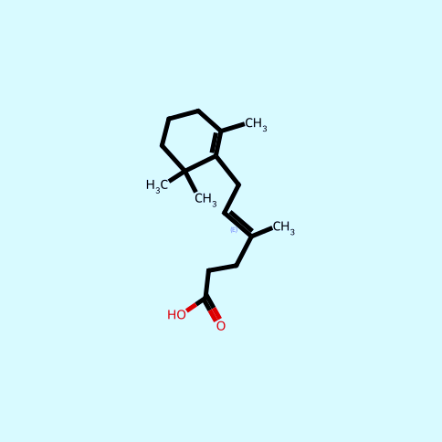 CC1=C(C/C=C(\C)CCC(=O)O)C(C)(C)CCC1